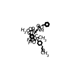 COCC[C@H]1CC[C@@H](N(C(=O)c2cc3c(cc2C(F)(F)F)OC(C)(C)C(=O)N3CCNC(=O)OCc2ccccc2)C(C)C)CC1